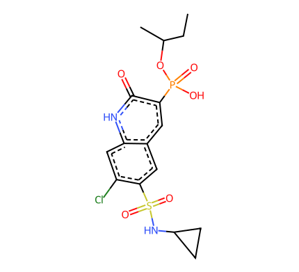 CCC(C)OP(=O)(O)c1cc2cc(S(=O)(=O)NC3CC3)c(Cl)cc2[nH]c1=O